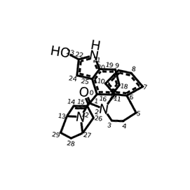 O=C(N1CCCc2ccccc21)N1C2C=C(c3cccc4[nH]c(O)cc34)CC1CC2